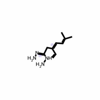 C=C/C(=C\C=C(C)C)C/C(=N/N)NN